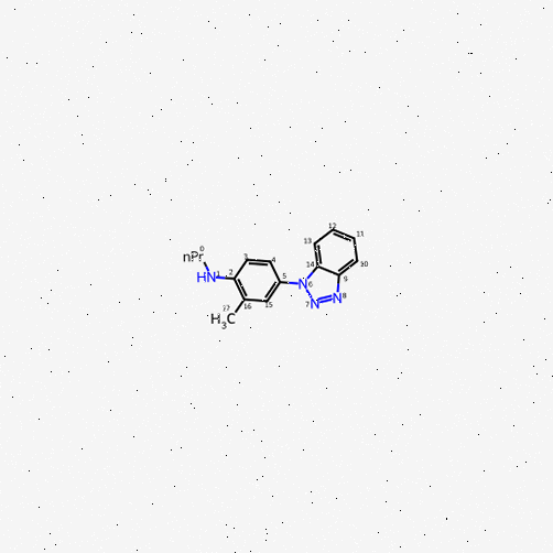 CCCNc1ccc(-n2nnc3ccccc32)cc1C